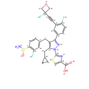 N[S+]([O-])c1ccc(Cc2c(-c3ccc(F)c(C#CC4(F)COC4)c3)nn(-c3nc(C(=O)O)cs3)c2CC2CC2)cc1F